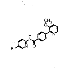 COc1cccnc1-c1ccc(C(=O)Nc2ccc(Br)cn2)cc1